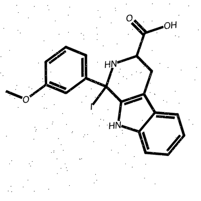 COc1cccc(C2(I)NC(C(=O)O)Cc3c2[nH]c2ccccc32)c1